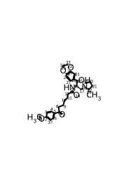 COc1ccc(C(=O)CCCCCC(=O)N[C@H](CN2CCC[C@@H]2C)[C@@H](O)c2ccc3c(c2)OCCO3)cc1